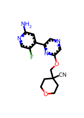 N#CC1(COc2cncc(-c3cc(N)ncc3F)n2)CCOCC1